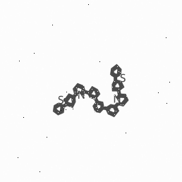 c1cc(-c2cccc(-c3cccc(-c4ccc5c(c4)sc4ccccc45)n3)c2)cc(-c2cccc(-c3cccc(-c4ccc5c(c4)sc4ccccc45)n3)c2)c1